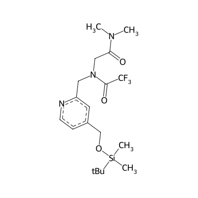 CN(C)C(=O)CN(Cc1cc(CO[Si](C)(C)C(C)(C)C)ccn1)C(=O)C(F)(F)F